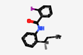 CC(C)C[C@H](C)c1ccccc1NC(=O)c1ccccc1I